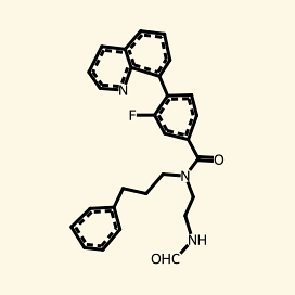 O=CNCCN(CCCc1ccccc1)C(=O)c1ccc(-c2cccc3cccnc23)c(F)c1